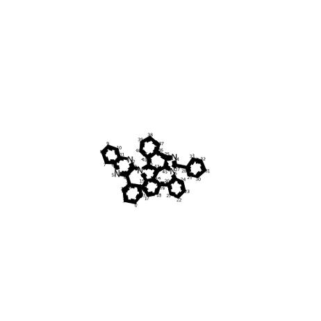 c1ccc(-c2nc3ccccc3nc2-n2c3cccc4c5ccccc5n5c(-c6ccccc6)nc6c7ccccc7c2c(c43)c65)cc1